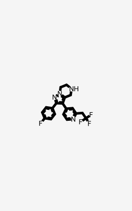 Fc1ccc(-c2nn3c(c2-c2ccnc(CC(F)(F)F)c2)CNCC3)cc1